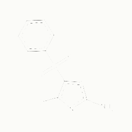 Cc1nc(N)sc1S(=O)(=O)c1ccccc1